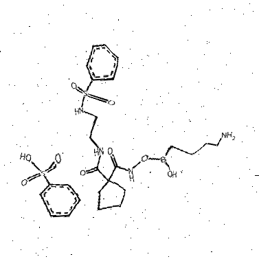 NCCCCB(O)ONC(=O)C1(C(=O)NCCNS(=O)(=O)c2ccccc2)CCCC1.O=S(=O)(O)c1ccccc1